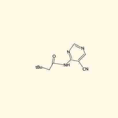 CC(C)(C)CC(=O)Nc1ncncc1C#N